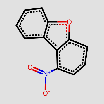 O=[N+]([O-])c1cccc2oc3ccccc3c12